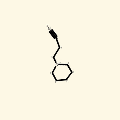 N#CCCN1CC[CH]CC1